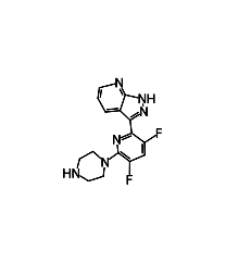 Fc1cc(F)c(N2CCNCC2)nc1-c1n[nH]c2ncccc12